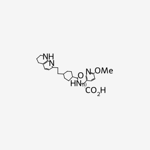 COc1ccc([C@H](CC(=O)O)NC(=O)C2CCC(CCc3ccc4c(n3)NCCC4)CC2)cn1